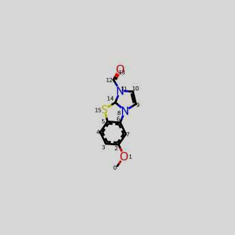 COc1ccc2c(c1)N1C=CN(C=O)C1S2